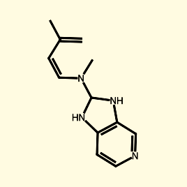 C=C(C)/C=C\N(C)C1Nc2ccncc2N1